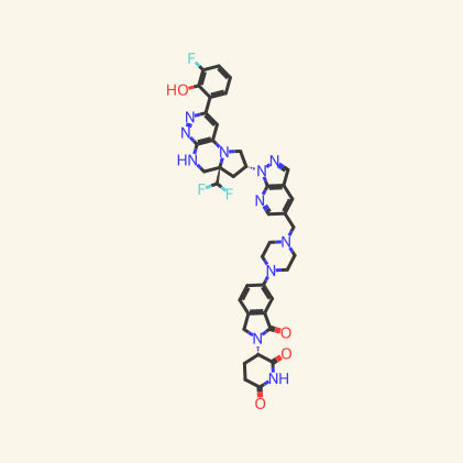 O=C1CC[C@H](N2Cc3ccc(N4CCN(Cc5cnc6c(cnn6[C@H]6CN7c8cc(-c9cccc(F)c9O)nnc8NC[C@@]7(C(F)F)C6)c5)CC4)cc3C2=O)C(=O)N1